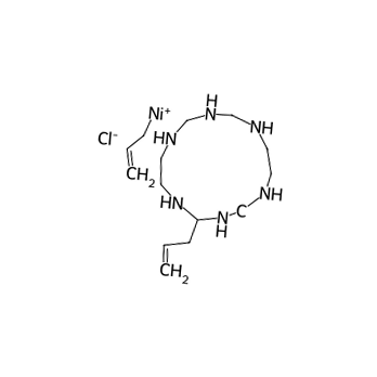 C=CCC1NCCNCNCNCCNCN1.C=C[CH2][Ni+].[Cl-]